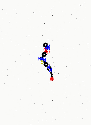 COCCCCCN1CCN(c2ccc(-c3nn4c(-c5ccc(C(=O)On6nnc7ccccc76)cc5)cnc4s3)cc2)CC1